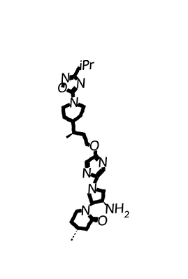 CC(C)c1noc(N2CCC([C@H](C)CCOc3cnc(N4C[C@H](N)[C@@H](N5CC[C@@H](C)CC5=O)C4)cn3)CC2)n1